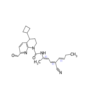 CC/C=C/C(C#N)=C\C=C(/C)NC(=O)N1CCC(C2CCC2)c2ccc(C=O)nc21